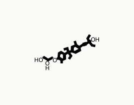 CCC(O)(C#Cc1ccc(C(CC)(CC)c2ccc(OC[C@@H](O)CO)c(C)c2)cc1C)CC